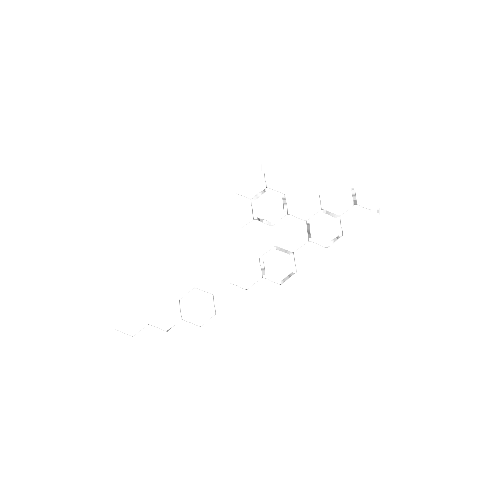 CCCC[C@H]1CC[C@H](CCc2ccc(-c3ccc(C(=O)O)c(F)c3-c3cc(F)c(F)c(F)c3)cc2)CC1